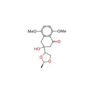 COc1ccc(OC)c2c1CC(O)(C1CO[C@@H](C)O1)CC2=O